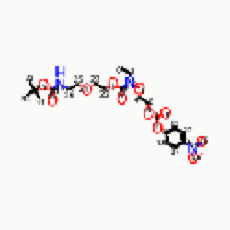 CCN(OCCOC(=O)Oc1ccc([N+](=O)[O-])cc1)C(=O)OCCOCCNC(=O)OC(C)(C)C